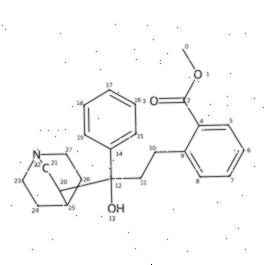 COC(=O)c1ccccc1CCC(O)(c1ccccc1)C1CN2CCC1CC2